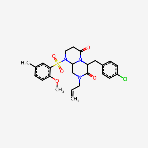 C=CCN1CC2N(C(=O)CCN2S(=O)(=O)c2cc(C)ccc2OC)C(Cc2ccc(Cl)cc2)C1=O